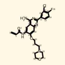 C=CC(=O)Nc1cc2c(N)nc(-c3ccc(F)c(Cl)c3)nc2cc1OCCCN1CCOCC1